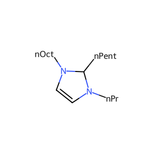 CCCCCCCCN1C=CN(CCC)C1CCCCC